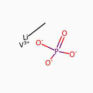 O=P([O-])([O-])[O-].[Li][CH3].[V+3]